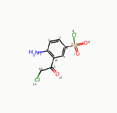 Nc1ccc(S(=O)(=O)Cl)cc1C(=O)CCl